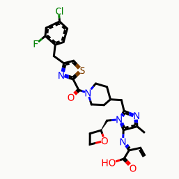 C=C/C(=N\c1c(C)nc(CC2CCN(C(=O)c3nc(Cc4ccc(Cl)cc4F)cs3)CC2)n1C[C@@H]1CCO1)C(=O)O